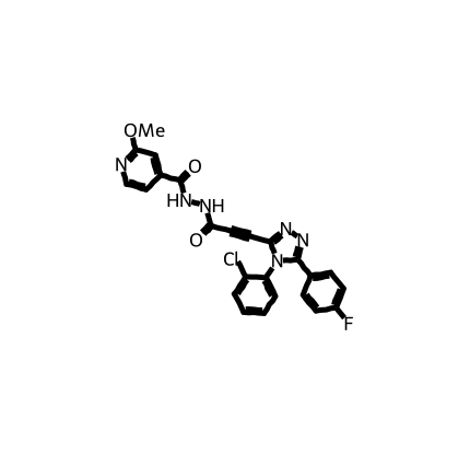 COc1cc(C(=O)NNC(=O)C#Cc2nnc(-c3ccc(F)cc3)n2-c2ccccc2Cl)ccn1